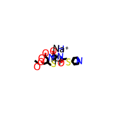 CC(=O)OCC1=C(C(=O)[O-])N2C(=O)[C@@H](NC(=O)CSc3ccncc3)[C@H]2SC1.[Na+]